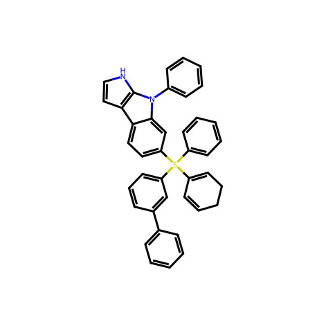 C1=CC(S(c2ccccc2)(c2cccc(-c3ccccc3)c2)c2ccc3c4cc[nH]c4n(-c4ccccc4)c3c2)=CCC1